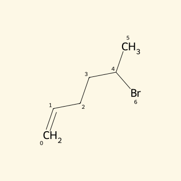 C=CCCC(C)Br